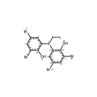 CCP(c1cc(Br)cc(Br)c1O)c1cc(Br)cc(Br)c1O